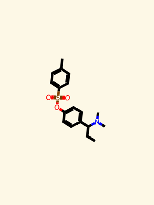 CCC(c1ccc(OS(=O)(=O)c2ccc(C)cc2)cc1)N(C)C